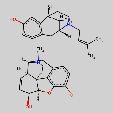 CC(C)=CCN1CC[C@@]2(C)c3cc(O)ccc3C[C@@H]1[C@@H]2C.CN1CC[C@]23c4c5ccc(O)c4O[C@H]2[C@@H](O)C=C[C@H]3[C@H]1C5